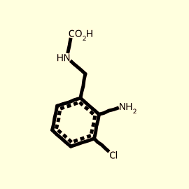 Nc1c(Cl)cccc1CNC(=O)O